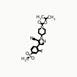 CC(C)OC(=O)N1CCC(n2ncc(-c3ccc(S(C)(=O)=O)cc3F)c2C#N)CC1